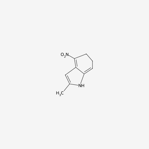 Cc1cc2c([nH]1)=CCCC=2[N+](=O)[O-]